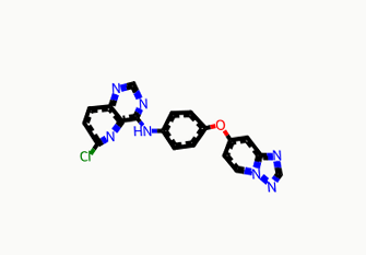 Clc1ccc2ncnc(Nc3ccc(Oc4ccn5ncnc5c4)cc3)c2n1